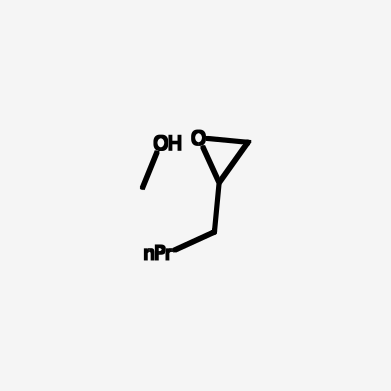 CCCCC1CO1.CO